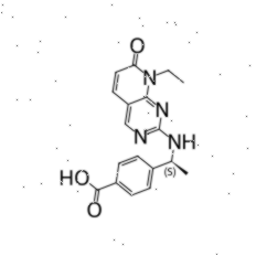 CCn1c(=O)ccc2cnc(N[C@@H](C)c3ccc(C(=O)O)cc3)nc21